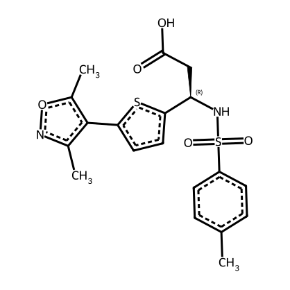 Cc1ccc(S(=O)(=O)N[C@H](CC(=O)O)c2ccc(-c3c(C)noc3C)s2)cc1